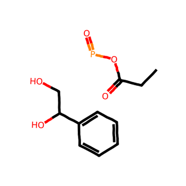 CCC(=O)OP=O.OCC(O)c1ccccc1